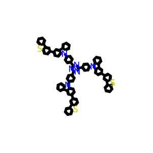 c1ccc2c(c1)sc1ccc(-c3ccc4c(c3)c3ccccc3n4-c3ccc(-c4nc(-c5ccc(-n6c7ccccc7c7cc(-c8ccc9sc%10ccccc%10c9c8)ccc76)cc5)nc(-c5ccc(-n6c7ccccc7c7cc(-c8ccc9sc%10ccccc%10c9c8)ccc76)cc5)n4)cc3)cc12